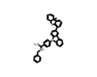 CC12C=CC=CC1Sc1c(-c3ccc4c(c3)c3ccccc3n4-c3ccc(C(N)NCc4ccccc4)cc3)cccc12